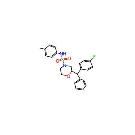 Cc1ccc(NS(=O)(=O)N2CCOC(C(c3ccccc3)c3ccc(F)cc3)C2)cc1